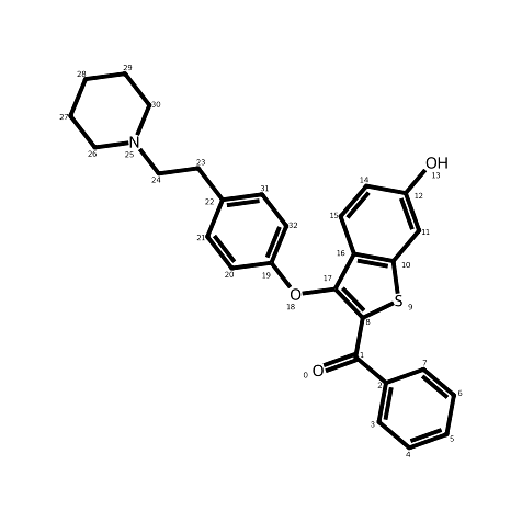 O=C(c1ccccc1)c1sc2cc(O)ccc2c1Oc1ccc(CCN2CCCCC2)cc1